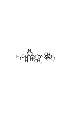 CNc1cncc2c1nc(C)n2COCC[Si](C)(C)C